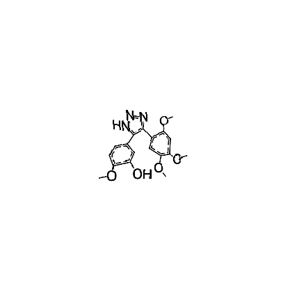 COc1ccc(-c2[nH]nnc2-c2cc(OC)c(OC)cc2OC)cc1O